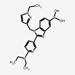 CCN(CC)c1ccc(-c2nc3cc(B(O)O)ccc3n2Cc2ccn(CC)n2)cn1